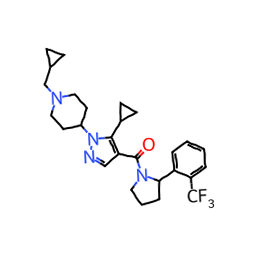 O=C(c1cnn(C2CCN(CC3CC3)CC2)c1C1CC1)N1CCCC1c1ccccc1C(F)(F)F